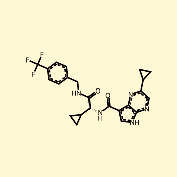 O=C(N[C@@H](C(=O)NCc1ccc(C(F)(F)F)cc1)C1CC1)c1c[nH]c2ncc(C3CC3)nc12